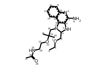 CCOCC1Nc2c(N)nc3ccccc3c2N1CC(C)(C)OCCNC(C)=O